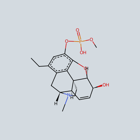 CCc1cc(OP(=O)(O)OC)c2c3c1C[C@@H]1[C@@H]4C=C[C@H](O)[C@H](O2)[C@]34CCN1C